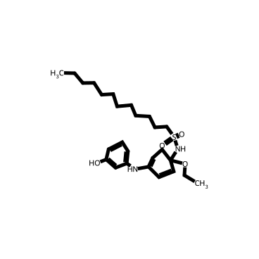 CCCCCCCCCCCCS(=O)(=O)NC1(OCC)C=CC(Nc2cccc(O)c2)=CC1